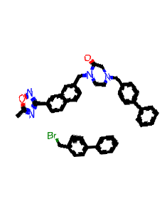 BrCc1ccc(-c2ccccc2)cc1.Cc1nc(-c2ccc3ccc(CN4CCN(Cc5ccc(-c6ccccc6)cc5)CC4=O)cc3c2)no1